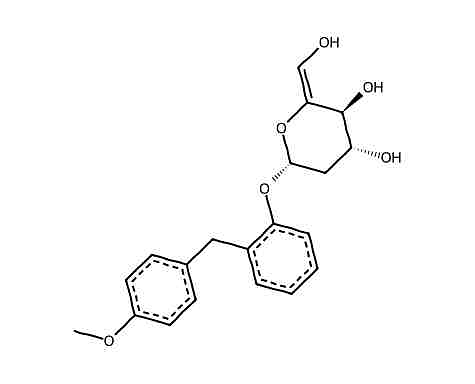 COc1ccc(Cc2ccccc2O[C@H]2C[C@@H](O)[C@H](O)/C(=C\O)O2)cc1